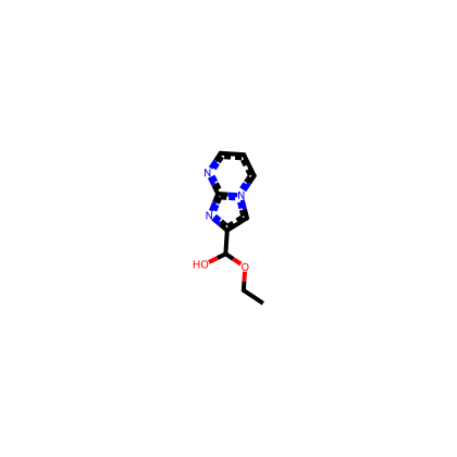 CCOC(O)c1cn2cccnc2n1